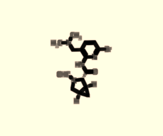 CN(C)Cc1ccc(Br)nc1NC(=O)[C@@H]1[C@@H]2C[C@@H]2CN1C=O